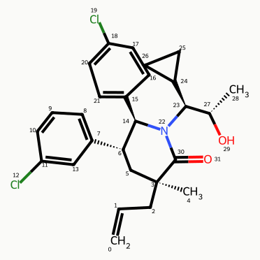 C=CC[C@@]1(C)C[C@H](c2cccc(Cl)c2)[C@@H](c2ccc(Cl)cc2)N([C@@H](C2CC2)[C@H](C)O)C1=O